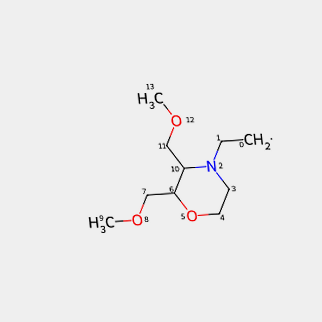 [CH2]CN1CCOC(COC)C1COC